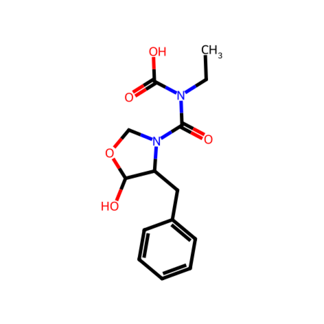 CCN(C(=O)O)C(=O)N1COC(O)C1Cc1ccccc1